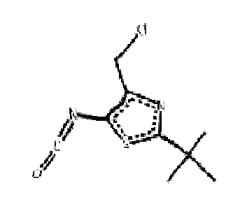 CC(C)(C)c1nc(CCl)c(N=C=O)s1